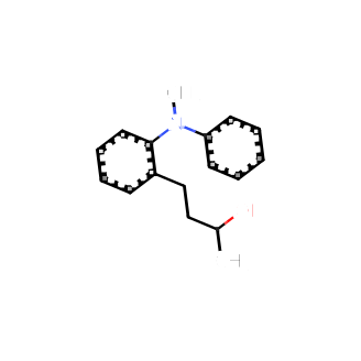 CC(O)CCc1ccccc1N(C)c1ccccc1